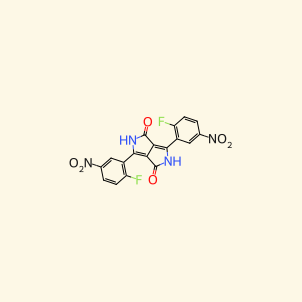 O=C1NC(c2cc([N+](=O)[O-])ccc2F)=C2C(=O)NC(c3cc([N+](=O)[O-])ccc3F)=C12